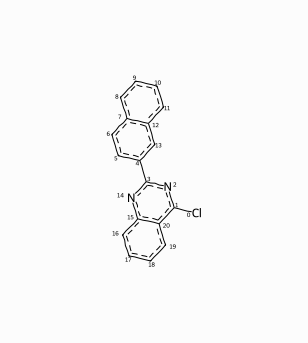 Clc1nc(-c2ccc3ccccc3c2)nc2ccccc12